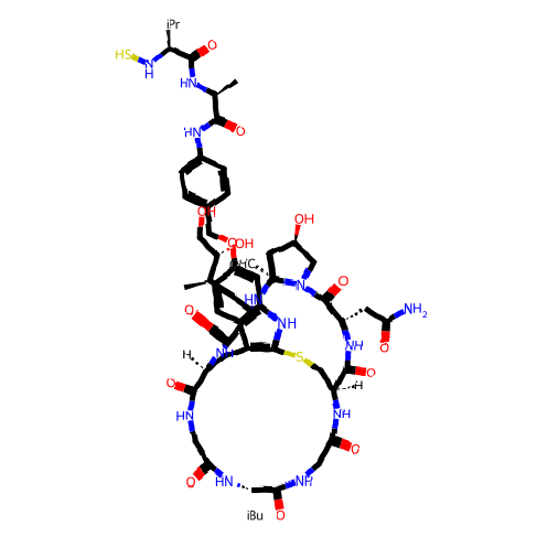 CC[C@H](C)[C@@H]1NC(=O)CNC(=O)[C@@H]2Cc3c([nH]c4cc(OCc5ccc(NC(=O)[C@H](C)NC(=O)[C@@H](NS)C(C)C)cc5)ccc34)SC[C@H](NC(=O)CNC1=O)C(=O)N[C@@H](CC(N)=O)C(=O)N1C[C@H](O)C[C@]1(C=O)N[C@@H]([C@@H](C)[C@@H](O)CO)C(=O)N2